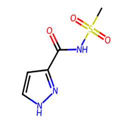 CS(=O)(=O)NC(=O)c1cc[nH]n1